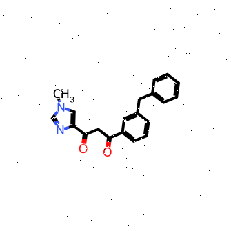 Cn1cnc(C(=O)CC(=O)c2cccc(Cc3ccccc3)c2)c1